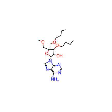 CCCCOC[C@@]1(COC)O[C@@H](n2cnc3c(N)ncnc32)[C@@H](O)C1OCCCC